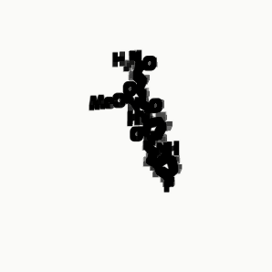 COC(=O)NC(CCC=CC(N)=O)C(=O)Nc1cccn(Cc2cc3cc(F)ccc3[nH]2)c1=O